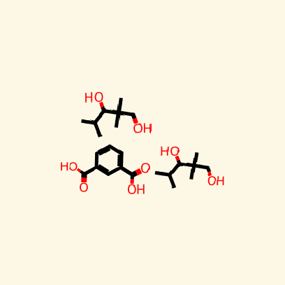 CC(C)C(O)C(C)(C)CO.CC(C)C(O)C(C)(C)CO.O=C(O)c1cccc(C(=O)O)c1